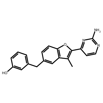 Cc1c(-c2ccnc(N)n2)oc2ccc(Cc3cccc(O)c3)cc12